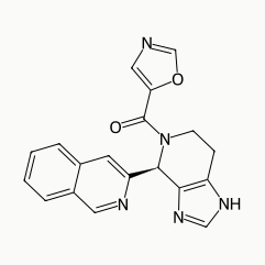 O=C(c1cnco1)N1CCc2[nH]cnc2[C@H]1c1cc2ccccc2cn1